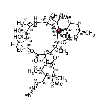 CC[C@H]1OC(=O)[C@H](C)[C@@H](O[C@H]2C[C@@](C)(OC)C(CN=[N+]=[N-])[C@H](C)O2)[C@H](C)[C@@H](O[C@@H]2O[C@H](C)CC[C@H]2OC(NC)C(F)(F)F)[C@](C)(O)C[C@@H](C)CN[C@H](C)[C@@H](O)[C@]1(C)O